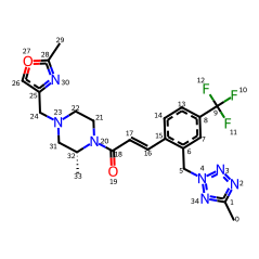 Cc1nnn(Cc2cc(C(F)(F)F)ccc2/C=C/C(=O)N2CCN(Cc3coc(C)n3)C[C@H]2C)n1